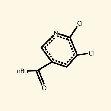 CCCCC(=O)c1cnc(Cl)c(Cl)c1